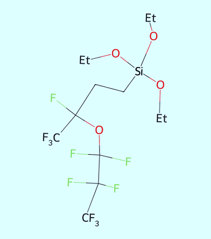 CCO[Si](CCC(F)(OC(F)(F)C(F)(F)C(F)(F)F)C(F)(F)F)(OCC)OCC